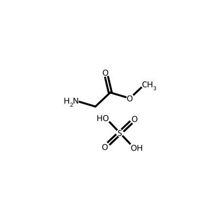 COC(=O)CN.O=S(=O)(O)O